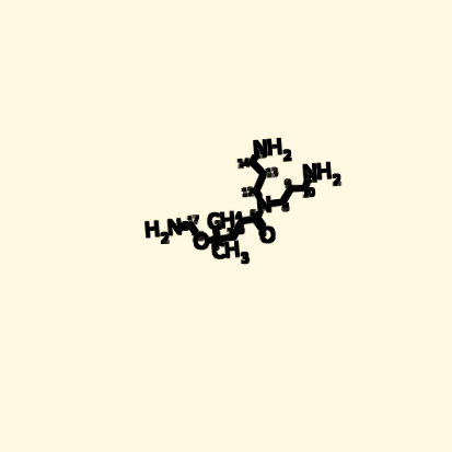 CC(C)(CCC(=O)N(CCCN)CCCN)OCN